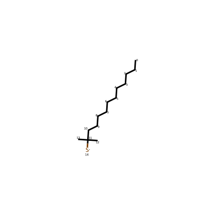 CCCCCCCCCCCC(C)(C)[S]